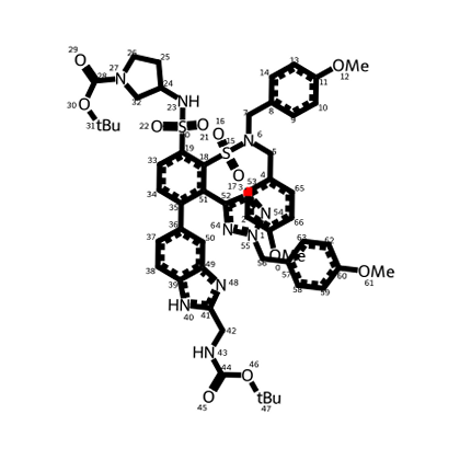 COc1ccc(CN(Cc2ccc(OC)cc2)S(=O)(=O)c2c(S(=O)(=O)NC3CCN(C(=O)OC(C)(C)C)C3)ccc(-c3ccc4[nH]c(CNC(=O)OC(C)(C)C)nc4c3)c2-c2nnn(Cc3ccc(OC)cc3)n2)cc1